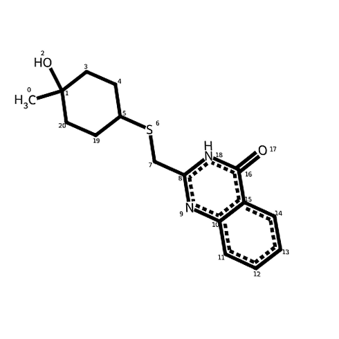 CC1(O)CCC(SCc2nc3ccccc3c(=O)[nH]2)CC1